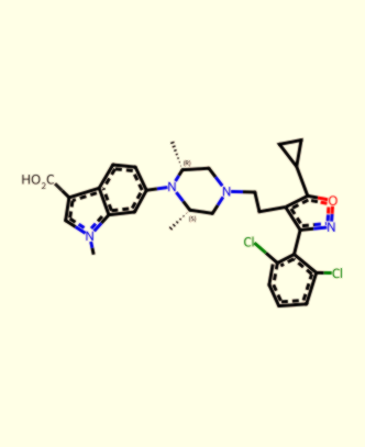 C[C@@H]1CN(CCc2c(-c3c(Cl)cccc3Cl)noc2C2CC2)C[C@H](C)N1c1ccc2c(C(=O)O)cn(C)c2c1